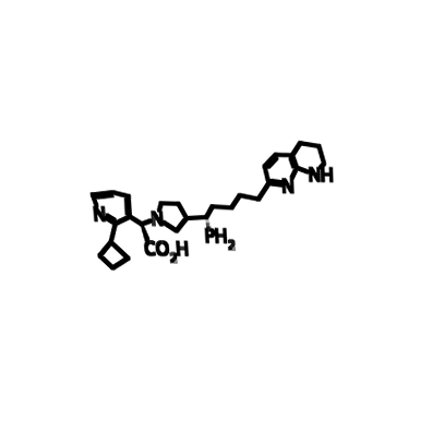 O=C(O)[C@@H](c1cccnc1C1CCC1)N1CCC([C@@H](P)CCCCc2ccc3c(n2)NCCC3)C1